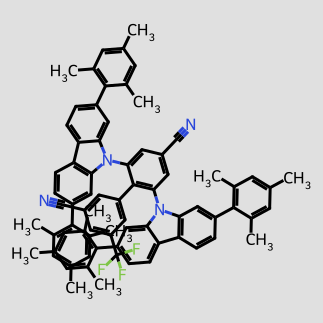 Cc1cc(C)c(-c2ccc3c4ccc(-c5c(C)cc(C)cc5C)cc4n(-c4cc(C#N)cc(-n5c6cc(-c7c(C)cc(C)cc7C)ccc6c6ccc(-c7c(C)cc(C)cc7C)cc65)c4-c4cc(C#N)cc(C(F)(F)F)c4)c3c2)c(C)c1